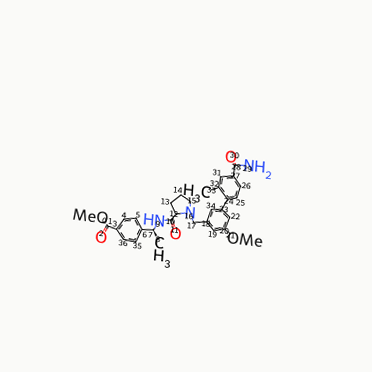 COC(=O)c1ccc([C@H](C)NC(=O)[C@H]2CCCN2Cc2cc(OC)cc(-c3ccc(C(N)=O)cc3C)c2)cc1